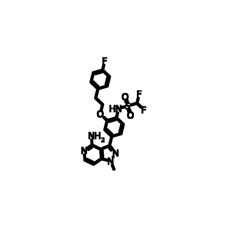 Cn1nc(-c2ccc(NS(=O)(=O)C(F)F)c(OCCc3ccc(F)cc3)c2)c2c(N)nccc21